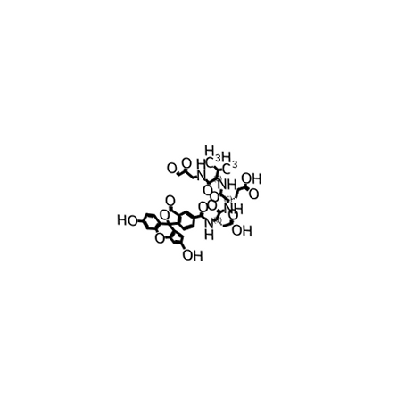 CC(C)[C@H](NC(=O)[C@H](CCC(=O)O)NC(=O)[C@H](CC(=O)O)NC(=O)c1ccc2c(c1)C(=O)OC21c2ccc(O)cc2Oc2cc(O)ccc21)C(=O)NCC(=O)C=O